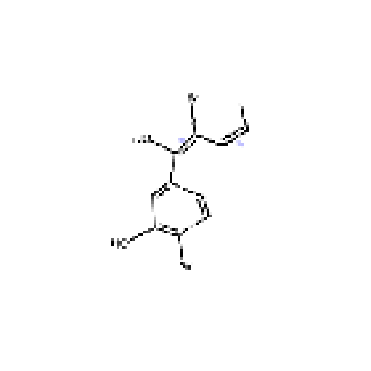 C/C=C\C(Br)=C(\O)c1ccc(Br)c(O)c1